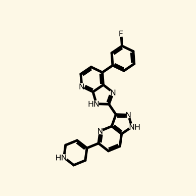 Fc1cccc(-c2ccnc3[nH]c(-c4n[nH]c5ccc(C6=CCNCC6)nc45)nc23)c1